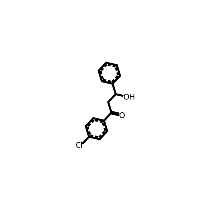 O=C(CC(O)c1ccccc1)c1ccc(Cl)cc1